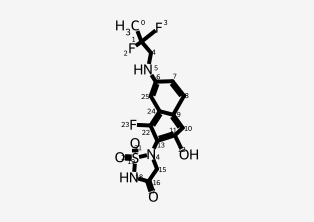 CC(F)(F)CNc1ccc2cc(O)c(N3CC(=O)NS3(=O)=O)c(F)c2c1